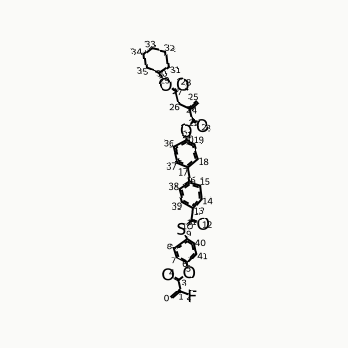 C=C(F)C(=O)Oc1ccc(SC(=O)c2ccc(-c3ccc(OC(=O)C(=C)CC(=O)OC4CCCCC4)cc3)cc2)cc1